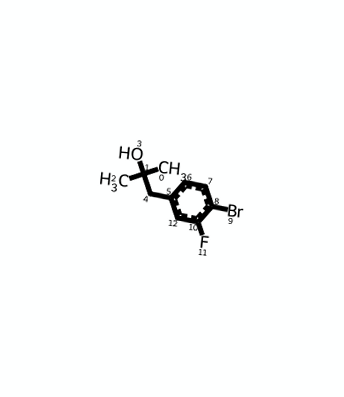 CC(C)(O)Cc1ccc(Br)c(F)c1